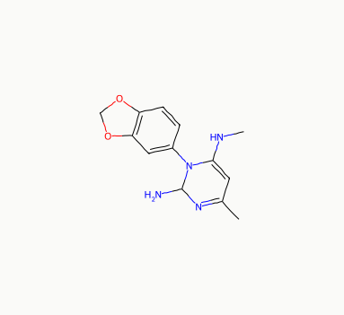 CNC1=CC(C)=NC(N)N1c1ccc2c(c1)OCO2